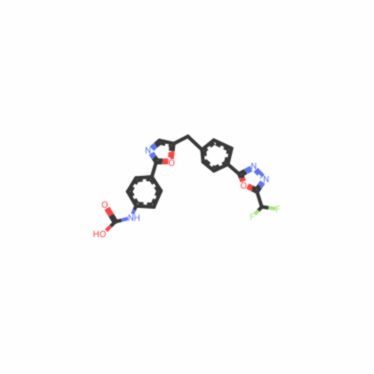 O=C(O)Nc1ccc(-c2ncc(Cc3ccc(-c4nnc(C(F)F)o4)cc3)o2)cc1